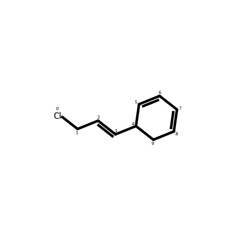 ClC/C=C/C1C=CC=CC1